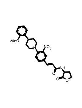 COc1ccccc1C1CCN(c2ccc(/C=C/C(=O)NC3CCOC3=O)cc2[N+](=O)[O-])CC1